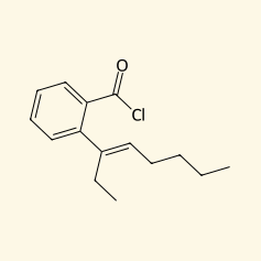 CCCCC=C(CC)c1ccccc1C(=O)Cl